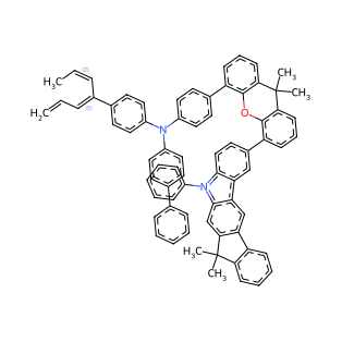 C=C/C=C(\C=C/C)c1ccc(N(c2ccc(-c3ccccc3)cc2)c2ccc(-c3cccc4c3Oc3c(-c5ccc6c(c5)c5cc7c(cc5n6-c5ccccc5)C(C)(C)c5ccccc5-7)cccc3C4(C)C)cc2)cc1